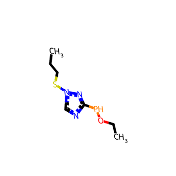 CCCSn1cnc(POCC)n1